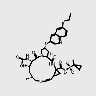 CCOc1ccc2ncc(O[C@@H]3C[C@H]4C(=O)NC5(C(=O)NS(=O)(=O)C6(C)CC6)CC5/C=C\CC[C@@H](C)C[C@@H](C)[C@H](NC(=O)O)C(=O)N4C3)cc2c1